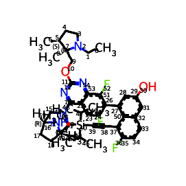 CCN1CC[C@H](C)[C@]1(C)COc1nc(N2C[C@H]3CC[C@@H](C2)N3)c2cc(F)c(-c3cc(O)cc4ccc(F)c(C#C[Si](C(C)C)(C(C)C)C(C)C)c34)c(F)c2n1